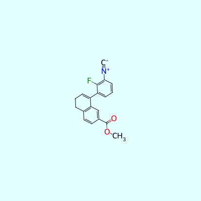 [C-]#[N+]c1cccc(C2=CCCc3ccc(C(=O)OC)cc32)c1F